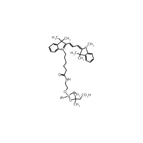 CC(C)[Si](OCCNC(=O)CCCCC[N+]1=C(/C=C/C=C2/N(C)c3ccccc3C2(C)C)C(C)(C)c2ccccc21)(OC(C)(C)CC(=O)O)C(C)C